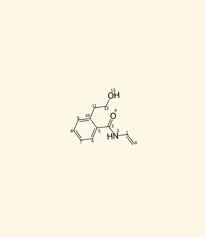 C=CNC(=O)c1ccccc1CCO